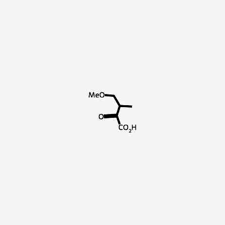 COCC(C)C(=O)C(=O)O